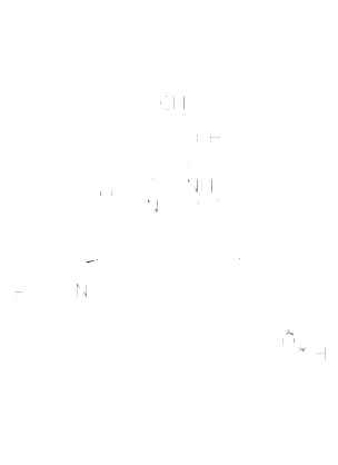 CC[C@H](C)[C@H](N)CN(C(=O)[C@@H]1C[C@H]1c1ccc(F)cn1)c1ccc(-c2ccc(COC)cc2)cc1